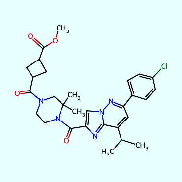 COC(=O)C1CC(C(=O)N2CCN(C(=O)c3cn4nc(-c5ccc(Cl)cc5)cc(C(C)C)c4n3)C(C)(C)C2)C1